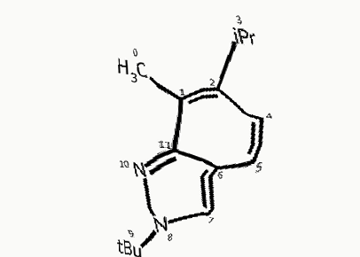 Cc1c(C(C)C)ccc2cn(C(C)(C)C)nc12